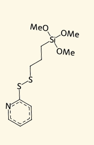 CO[Si](CCCSSc1ccccn1)(OC)OC